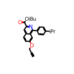 C#CCOc1ccc2cc(C(=O)OCC(C)C)nc(-c3ccc(C(C)C)cc3)c2c1